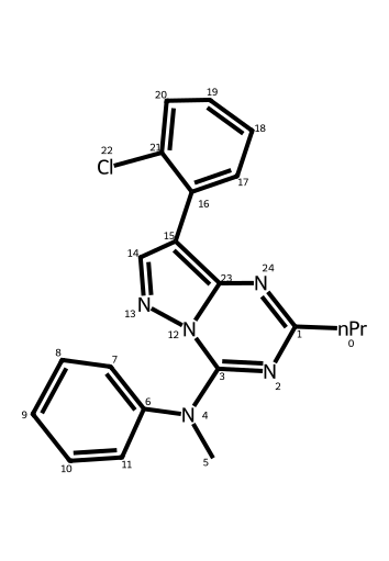 CCCc1nc(N(C)c2ccccc2)n2ncc(-c3ccccc3Cl)c2n1